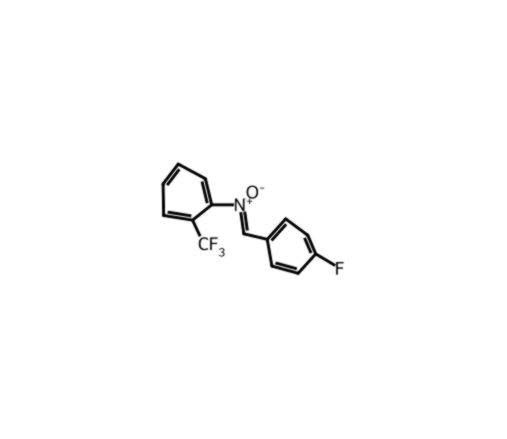 [O-][N+](=Cc1ccc(F)cc1)c1ccccc1C(F)(F)F